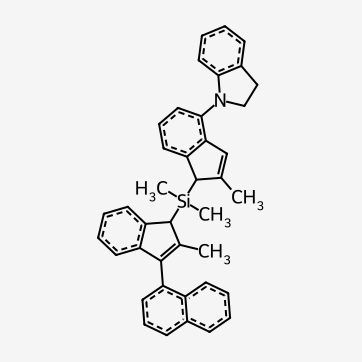 CC1=Cc2c(cccc2N2CCc3ccccc32)C1[Si](C)(C)C1C(C)=C(c2cccc3ccccc23)c2ccccc21